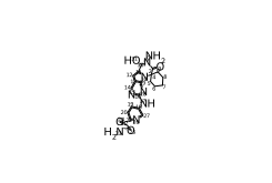 NN1C(=O)C2(CCCCC2)n2c(cc3cnc(Nc4ccc(S(N)(=O)=O)nc4)nc32)C1O